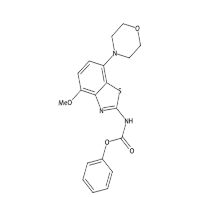 COc1ccc(N2CCOCC2)c2sc(NC(=O)Oc3ccccc3)nc12